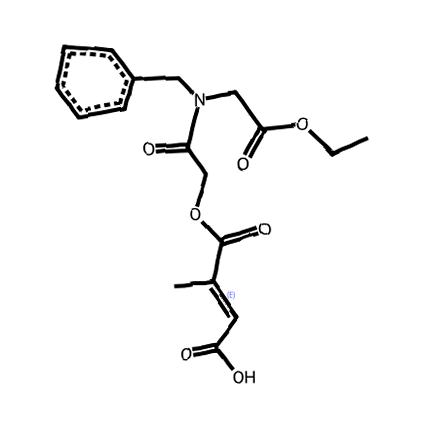 CCOC(=O)CN(Cc1ccccc1)C(=O)COC(=O)/C(C)=C/C(=O)O